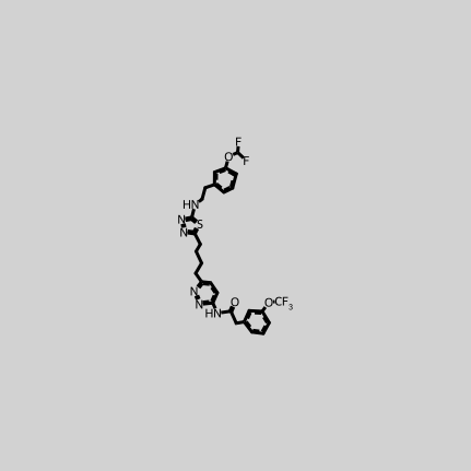 O=C(Cc1cccc(OC(F)(F)F)c1)Nc1ccc(CCCCc2nnc(NCCc3cccc(OC(F)F)c3)s2)nn1